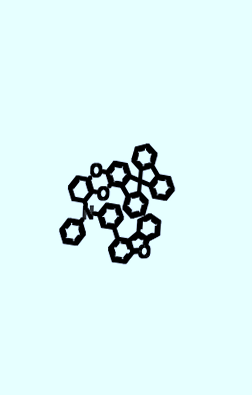 C1=CC2=C(Oc3c(ccc4c3-c3ccccc3C43c4ccccc4-c4ccccc43)O2)C(N(c2ccccc2)c2cccc(-c3cccc4oc5ccccc5c34)c2)C1